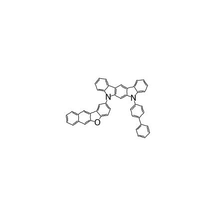 c1ccc(-c2ccc(-n3c4ccccc4c4cc5c6ccccc6n(-c6ccc7oc8cc9ccccc9cc8c7c6)c5cc43)cc2)cc1